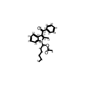 CCCCCC(OC(C)=O)n1c(C)c(C(=O)c2ccccc2)c2ccccc21